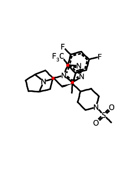 Cc1nnc(C(F)(F)F)n1C1CC2CCC(C1)N2CC[C@@H](c1cc(F)cc(F)c1)C1CCN(S(C)(=O)=O)CC1